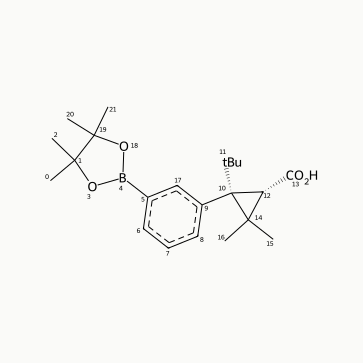 CC1(C)OB(c2cccc([C@@]3(C(C)(C)C)[C@H](C(=O)O)C3(C)C)c2)OC1(C)C